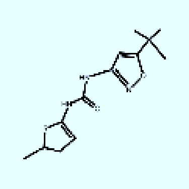 CC1CC=C(NC(=O)Nc2cc(C(C)(C)C)on2)S1